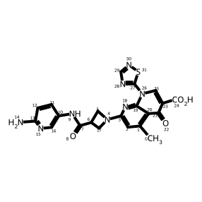 Cc1cc(N2CC(C(=O)Nc3ccc(N)nc3)C2)nc2c1c(=O)c(C(=O)O)cn2-c1ncns1